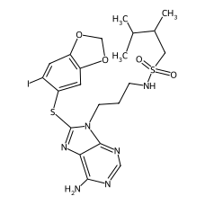 CC(C)C(C)CS(=O)(=O)NCCCn1c(Sc2cc3c(cc2I)OCO3)nc2c(N)ncnc21